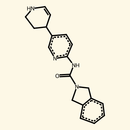 O=C(Nc1ccc(C2C=CNCC2)cn1)N1Cc2ccccc2C1